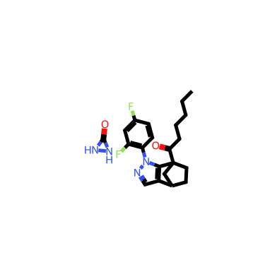 CCCCCC(=O)C12CCC(C1)c1cnn(-c3ccc(F)cc3F)c12.O=C1NN1